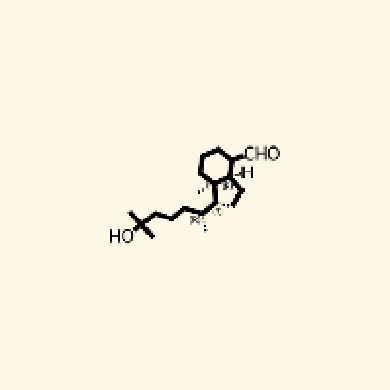 C[C@H](CCCC(C)(C)O)[C@H]1CC[C@@H]2C(C=O)CCC[C@@]21C